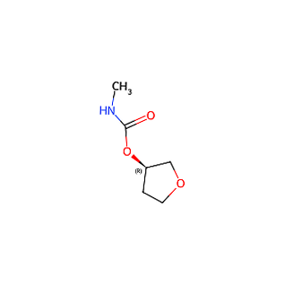 CNC(=O)O[C@@H]1CCOC1